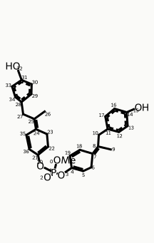 COP(=O)(OC1=CCC(=C(C)Cc2ccc(O)cc2)C=C1)OC1=CCC(=C(C)Cc2ccc(O)cc2)C=C1